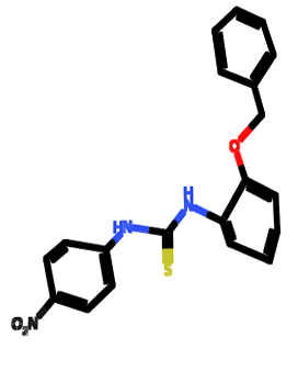 O=[N+]([O-])c1ccc(NC(=S)Nc2ccccc2OCc2ccccc2)cc1